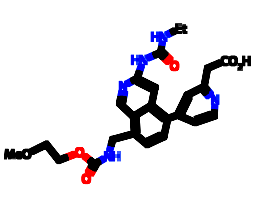 CCNC(=O)Nc1cc2c(-c3ccnc(CC(=O)O)c3)ccc(CNC(=O)OCCOC)c2cn1